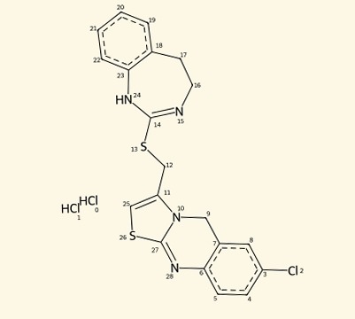 Cl.Cl.Clc1ccc2c(c1)CN1C(CSC3=NCCc4ccccc4N3)=CSC1=N2